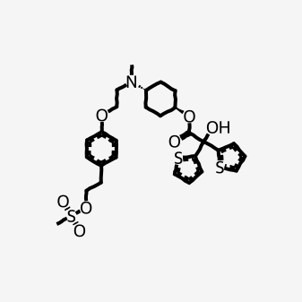 CN(CCOc1ccc(CCOS(C)(=O)=O)cc1)[C@H]1CC[C@H](OC(=O)C(O)(c2cccs2)c2cccs2)CC1